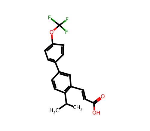 CC(C)c1ccc(-c2ccc(OC(F)(F)F)cc2)cc1/C=C/C(=O)O